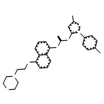 Cc1ccc(-n2nc(C(C)(C)C)cc2NC(=O)Nc2cccc3c(OCCN4CCOCC4)cccc23)cc1